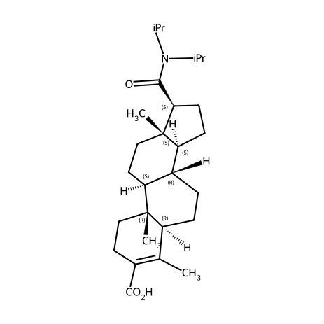 CC1=C(C(=O)O)CC[C@@]2(C)[C@H]1CC[C@@H]1[C@@H]2CC[C@]2(C)[C@@H](C(=O)N(C(C)C)C(C)C)CC[C@@H]12